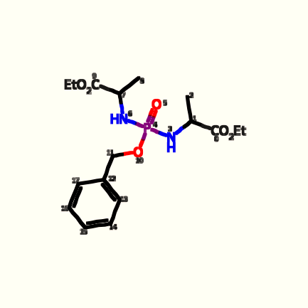 CCOC(=O)C(C)NP(=O)(NC(C)C(=O)OCC)OCc1ccccc1